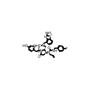 C=CCN(C(=O)NCc1ccc(F)cc1)N1CC(=O)N([C@H](C)Cc2ccc(O)cn2)[C@@H]1CN(C=O)Cc1cccc2sc(N)nc12